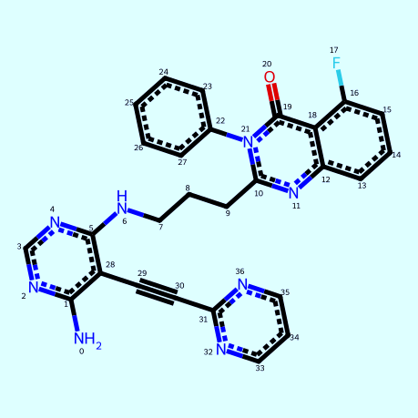 Nc1ncnc(NCCCc2nc3cccc(F)c3c(=O)n2-c2ccccc2)c1C#Cc1ncccn1